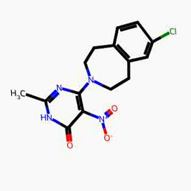 Cc1nc(N2CCc3ccc(Cl)cc3CC2)c([N+](=O)[O-])c(=O)[nH]1